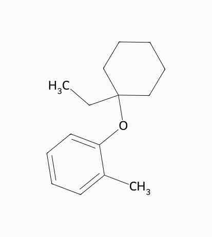 CCC1(Oc2ccccc2C)CCCCC1